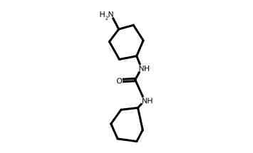 NC1CCC(NC(=O)NC2CCCCC2)CC1